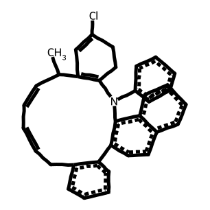 CC1/C=C\C=C/Cc2ccccc2-c2ccc3ccccc3c2N(c2ccccc2)C2=C1C=C(Cl)CC2